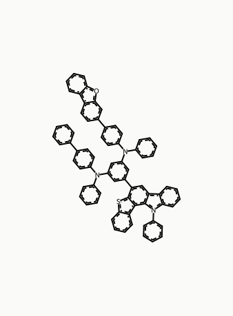 c1ccc(-c2ccc(N(c3ccccc3)c3cc(-c4cc5c6ccccc6n(-c6ccccc6)c5c5c4sc4ccccc45)cc(N(c4ccccc4)c4ccc(-c5ccc6c(c5)oc5ccccc56)cc4)c3)cc2)cc1